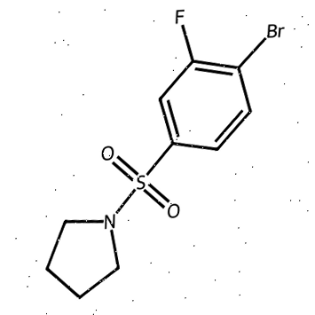 O=S(=O)(c1ccc(Br)c(F)c1)N1CCCC1